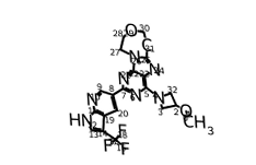 COC1CN(c2nc(-c3cnc4[nH]cc(C(F)(F)F)c4c3)nc3c2nc2n3CCOCC2)C1